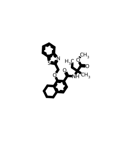 CCC(C)(NC(=O)c1ccc2c(c1OCc1nc3ccccc3s1)CCCC2)C(=O)OC